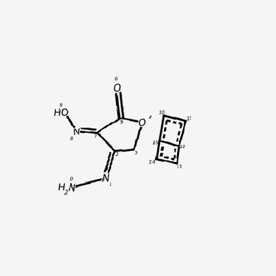 NN=C1COC(=O)C1=NO.c1cc2ccc1-2